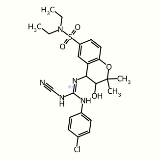 CCN(CC)S(=O)(=O)c1ccc2c(c1)C(/N=C(/NC#N)Nc1ccc(Cl)cc1)C(O)C(C)(C)O2